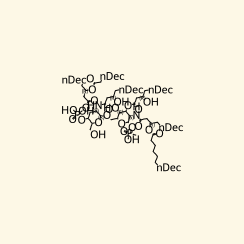 CCCCCCCCCCCCCCCC(=O)O[C@H](CCCCCCCCCCC)CC(=O)N[C@@H]1C(OP(C)(=O)O)OC(CO[C@@H]2OC(CO)C(OP(=O)(O)O)C(OC(=O)C[C@@H](CCCCCCCCCCC)OC(=O)CCCCCCCCCCC)[C@@H]2NC(=O)C[C@H](O)CCCCCCCCCCC)[C@@H](O)C1OC(=O)C[C@H](O)CCCCCCCCCCC